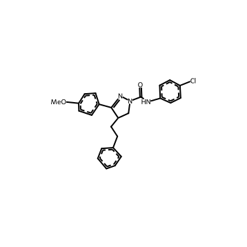 COc1ccc(C2=NN(C(=O)Nc3ccc(Cl)cc3)CC2CCc2ccccc2)cc1